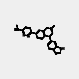 CNc1ccc(-c2ccc3c(c2)CN(C)CC3c2ccc3cc[nH]c3c2)nn1